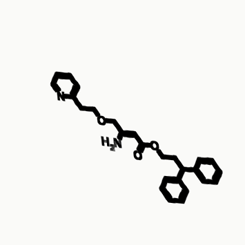 NC(=CC(=O)OCCC(c1ccccc1)c1ccccc1)COCCc1ccccn1